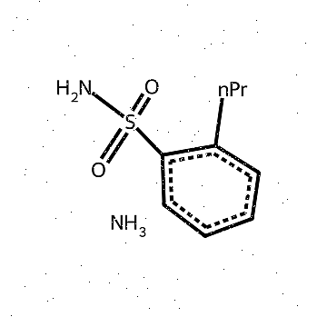 CCCc1ccccc1S(N)(=O)=O.N